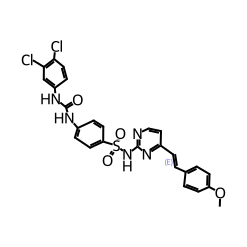 COc1ccc(/C=C/c2ccnc(NS(=O)(=O)c3ccc(NC(=O)Nc4ccc(Cl)c(Cl)c4)cc3)n2)cc1